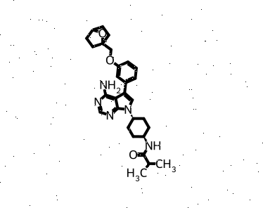 CC(C)C(=O)N[C@H]1CC[C@H](n2cc(-c3cccc(OCC45CCC(CC4)O5)c3)c3c(N)ncnc32)CC1